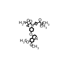 COc1cc2nccc(Oc3ccc(N(C(=O)C4(C(N)=O)CC4)C45CC(C(=O)N(C)C)(C4)C5)cc3)c2cc1OC